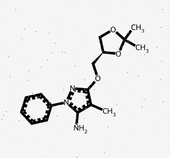 Cc1c(OC[C@H]2COC(C)(C)O2)nn(-c2ccccc2)c1N